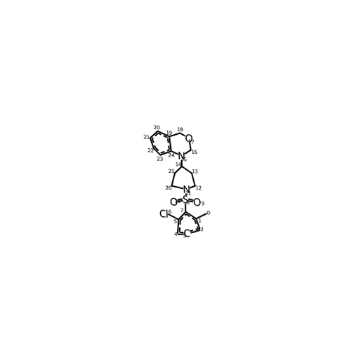 Cc1cccc(Cl)c1S(=O)(=O)N1CCC(N2COCc3ccccc32)CC1